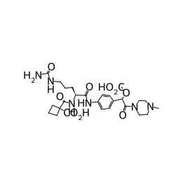 CN1CCN(C(=O)C(OC(=O)O)c2ccc(NC(=O)[C@H](CCCNC(N)=O)NC(=O)C3(C(=O)O)CCC3)cc2)CC1